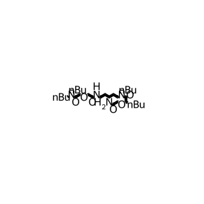 CCCCC(OCC(N)=O)C(=O)N(CCCC)CCCCCNC(=O)COCC(=O)N(CCCC)CCCC